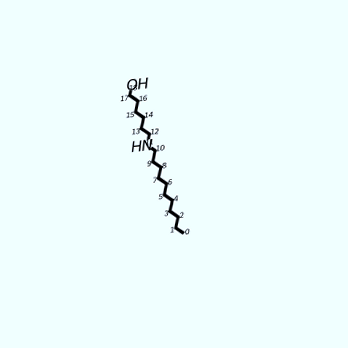 CCCCCCCCCCCNCCCCCCO